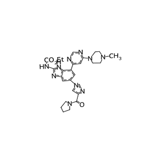 CCOC(=O)Nc1nc2cc(-n3cnc(C(=O)N4CCCC4)c3)cc(-c3cc(N4CCN(C)CC4)ncn3)c2[nH]1